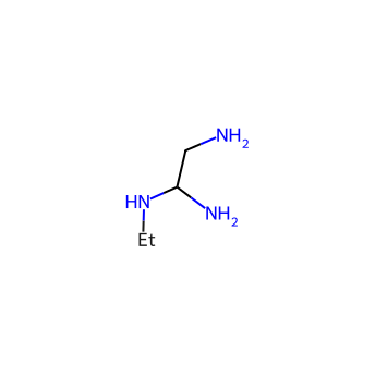 CCNC(N)CN